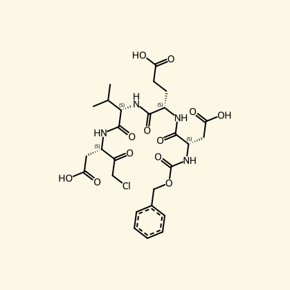 CC(C)[C@H](NC(=O)[C@H](CCC(=O)O)NC(=O)[C@H](CC(=O)O)NC(=O)OCc1ccccc1)C(=O)N[C@@H](CC(=O)O)C(=O)CCl